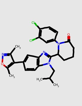 Cc1noc(C)c1-c1ccc2c(c1)nc(C1CCCC(=O)N1c1ccc(Cl)c(Cl)c1)n2CC(C)C